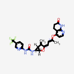 C=C1/C(=C\C=C(/C)Oc2ccnc3c2CCC(=O)N3)O[C@@H]2[C@@H](NC(=O)Nc3ccc(C(F)(F)F)cn3)[C@H]12